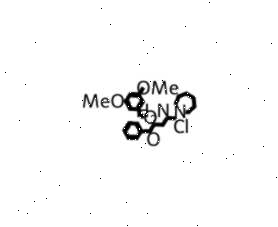 COc1cc(COC(CC(N)C(Cl)N2CCCCCC2)C(=O)c2ccccc2)cc(OC)c1